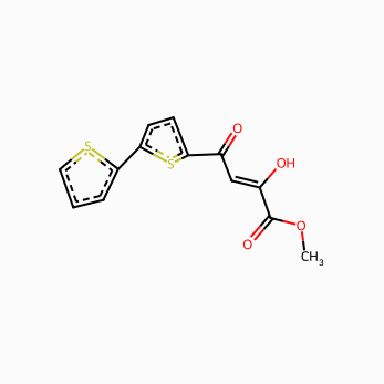 COC(=O)/C(O)=C/C(=O)c1ccc(-c2cccs2)s1